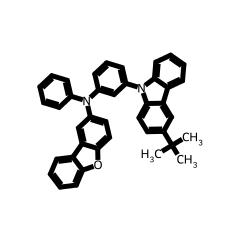 CC(C)(C)c1ccc2c(c1)c1ccccc1n2-c1cccc(N(c2ccccc2)c2ccc3oc4ccccc4c3c2)c1